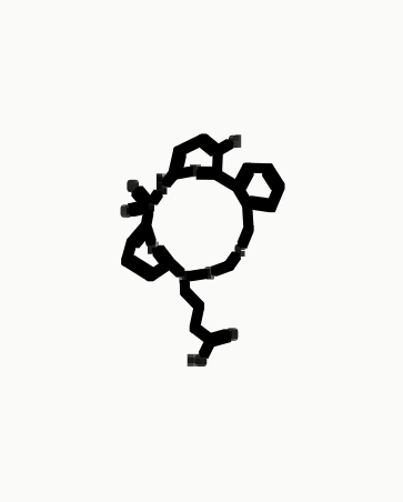 O=C(O)CCCN1CCCCc2ccccc2-c2nc(ccc2Cl)NS(=O)(=O)c2cccc1n2